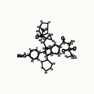 COc1ccc(-c2c(C3CCCCC3)c3ccc(C(=O)N(C)S(=O)(=O)N(C)C)cc3n2CC2(C(=O)N3C4CCC3CN(C)C4)CC2)cc1